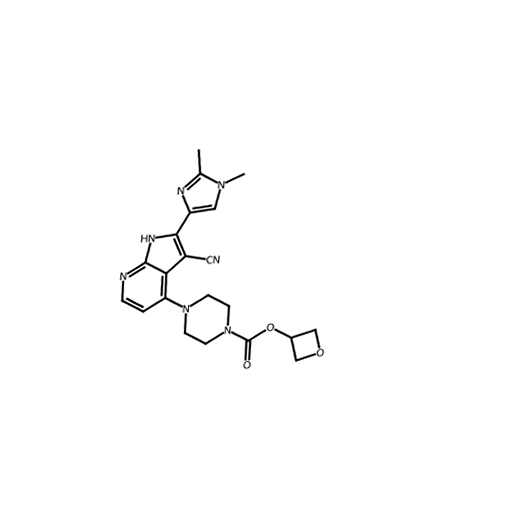 Cc1nc(-c2[nH]c3nccc(N4CCN(C(=O)OC5COC5)CC4)c3c2C#N)cn1C